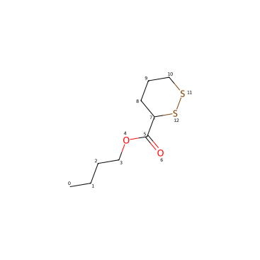 CCCCOC(=O)[C]1CCCSS1